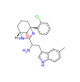 Cc1ccc2[nH]cc(CC(N)C3=N[C@@]4(c5ccccc5Cl)CCC[C@@H](N3)C4=O)c2c1